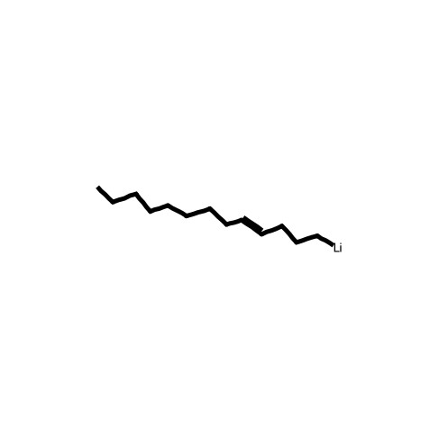 [Li][CH2]CC/C=C/CCCCCCCC